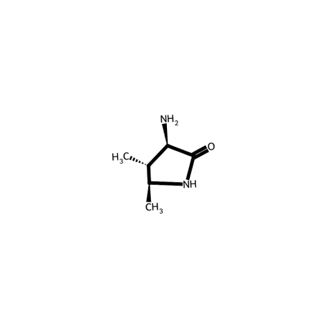 C[C@H]1[C@H](C)NC(=O)[C@@H]1N